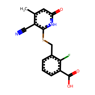 Cc1cc(=O)[nH]c(SCc2cccc(C(=O)O)c2F)c1C#N